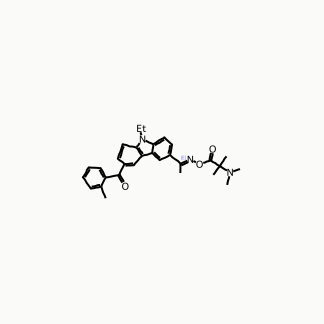 CCn1c2ccc(C(=O)c3ccccc3C)cc2c2cc(/C(C)=N/OC(=O)C(C)(C)N(C)C)ccc21